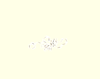 O=S(=O)(O)c1c(C=Cc2ccccc2)cccc1-n1nc2ccc3ccccc3c2n1